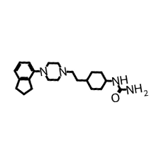 NC(=O)NC1CCC(CCN2CCN(c3cccc4c3CCC4)CC2)CC1